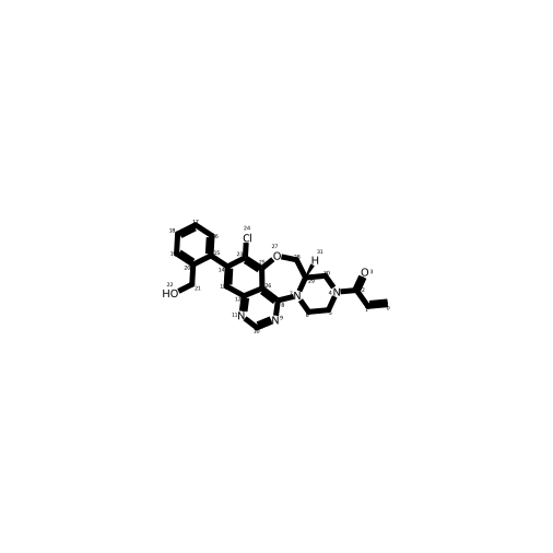 C=CC(=O)N1CCN2c3ncnc4cc(-c5ccccc5CO)c(Cl)c(c34)OC[C@@H]2C1